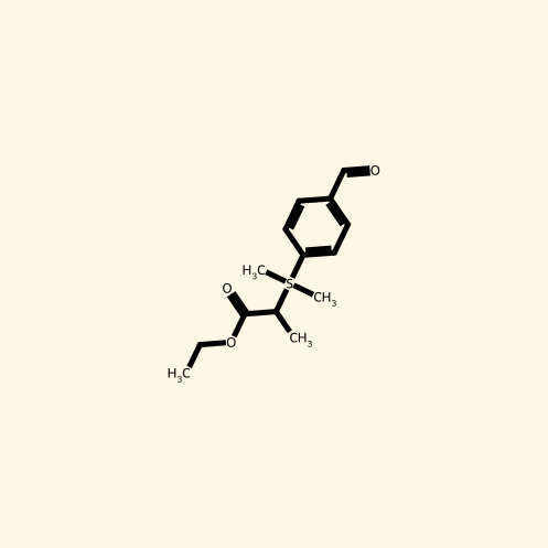 CCOC(=O)C(C)S(C)(C)c1ccc(C=O)cc1